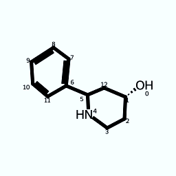 O[C@@H]1CCNC(c2ccccc2)C1